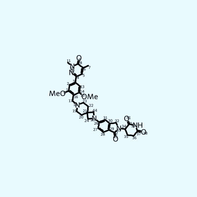 COc1cc(-c2cc(C)c(=O)n(C)n2)cc(OC)c1CN1CCC2(CC1)CN(c1ccc3c(c1)CN(C1CCC(=O)NC1=O)C3=O)C2